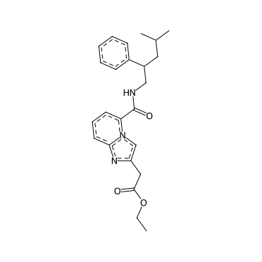 CCOC(=O)Cc1cn2c(C(=O)NCC(CC(C)C)c3ccccc3)cccc2n1